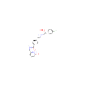 CN(Cc1cccc(=O)[nH]1)C(=O)c1ccc(CCNC[C@H](O)c2ccc(Cl)cc2)cc1